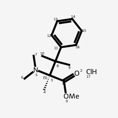 COC(=O)[C@@](C)(N(C)C)C(C)(C)c1ccccc1.Cl